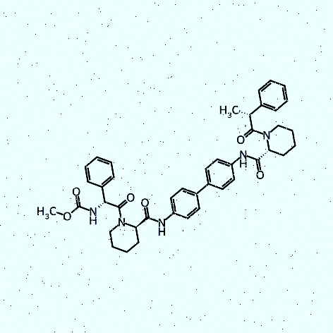 COC(=O)N[C@@H](C(=O)N1CCCC[C@@H]1C(=O)Nc1ccc(-c2ccc(NC(=O)[C@H]3CCCCN3C(=O)[C@H](C)c3ccccc3)cc2)cc1)c1ccccc1